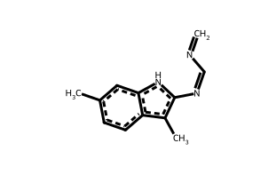 C=N/C=N\c1[nH]c2cc(C)ccc2c1C